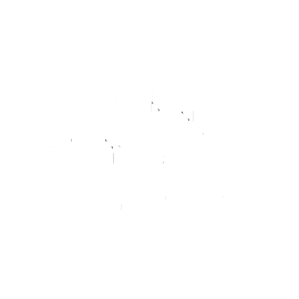 Cc1ccc(Cl)c2c(NS(C)(=O)=O)n[nH]c12